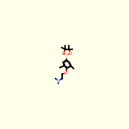 Cc1cc(B2OC(C)(C)C(C)(C)O2)cc(C)c1OCCN(C)C